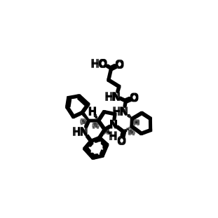 O=C(O)CCNC(=O)N[C@@H]1CCCC[C@@H]1C(=O)N1CC[C@@H]2[C@H](C3C=CC=CC3)Nc3ccccc3[C@@H]21